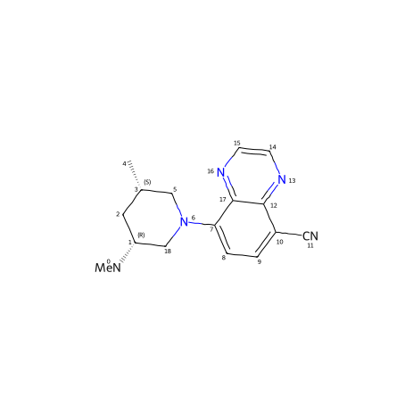 CN[C@@H]1C[C@H](C)CN(c2ccc(C#N)c3nccnc23)C1